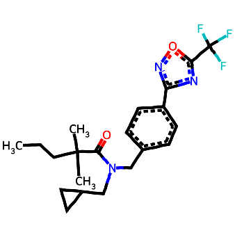 CCCC(C)(C)C(=O)N(Cc1ccc(-c2noc(C(F)(F)F)n2)cc1)CC1CC1